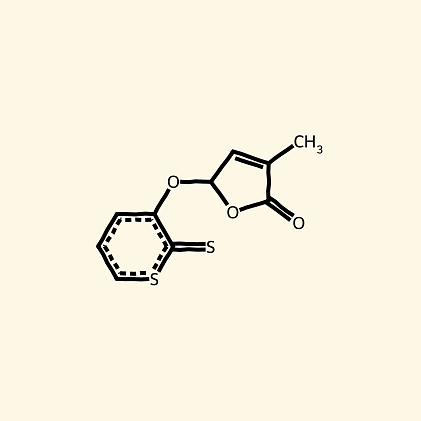 CC1=CC(Oc2cccsc2=S)OC1=O